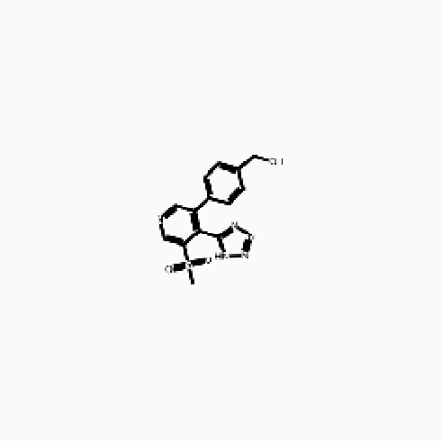 CS(=O)(=O)c1cncc(-c2ccc(CO)cc2)c1-c1nnn[nH]1